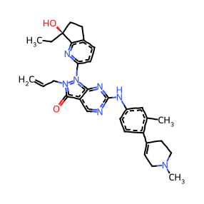 C=CCn1c(=O)c2cnc(Nc3ccc(C4=CCN(C)CC4)c(C)c3)nc2n1-c1ccc2c(n1)[C@](O)(CC)CC2